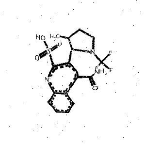 CC1CCN(C(F)(F)F)C1c1c(S(=O)(=O)O)nc2ccccc2c1C(N)=O